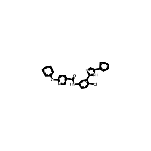 O=C(Nc1ccc(Cl)c(-c2ncc(-c3ccccc3)[nH]2)c1)c1ccc(Oc2ccccc2)nc1